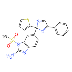 CC(C)S(=O)(=O)n1c(N)nc2ccc(C3(c4cccs4)N=CC(c4ccccc4)=N3)cc21